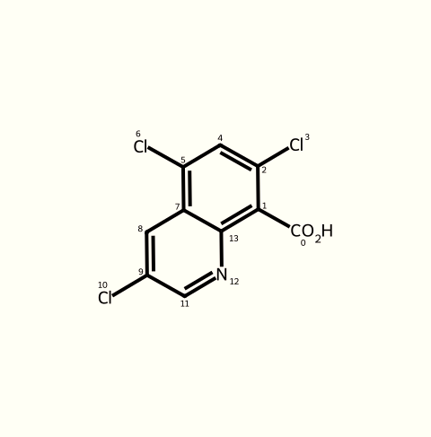 O=C(O)c1c(Cl)cc(Cl)c2cc(Cl)cnc12